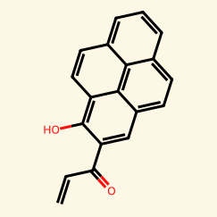 C=CC(=O)c1cc2ccc3cccc4ccc(c1O)c2c34